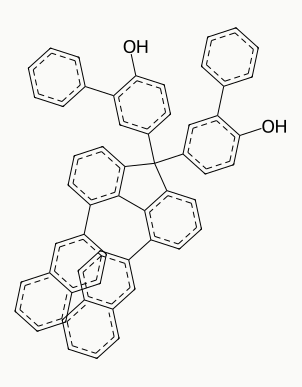 Oc1ccc(C2(c3ccc(O)c(-c4ccccc4)c3)c3cccc(-c4ccc5ccccc5c4)c3-c3c(-c4ccc5ccccc5c4)cccc32)cc1-c1ccccc1